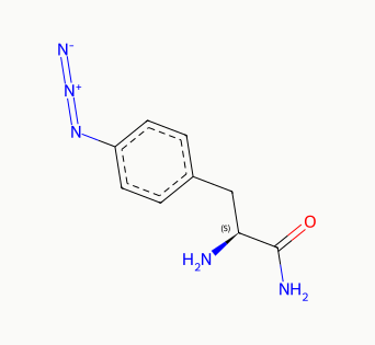 [N-]=[N+]=Nc1ccc(C[C@H](N)C(N)=O)cc1